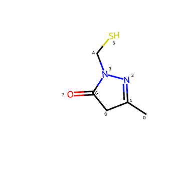 CC1=NN(CS)C(=O)C1